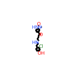 Cn1c(=O)[nH]c2ccc(C(=O)CCCCNCCc3ccc(O)cc3Cl)cc21